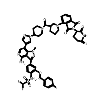 C[C@H](Oc1cc(-c2nn(C)c3c(-c4cnn(C5CCN(C(=O)C6CCCN(c7cccc8c7C(=O)N(C7CCC(=O)NC7=O)C8=O)C6)CC5)c4)cnc(N)c23)ccc1NS(=O)(=O)C(F)F)c1ccc(F)cc1